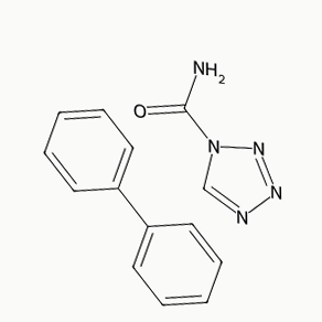 NC(=O)n1cnnn1.c1ccc(-c2ccccc2)cc1